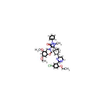 CCOc1ccc(Cl)cc1-c1nccc(C2CCC[C@@H](C(=O)N(Cc3ccc(OC)cc3OC)c3c(C)n(C)n(-c4ccccc4)c3=O)C2)n1